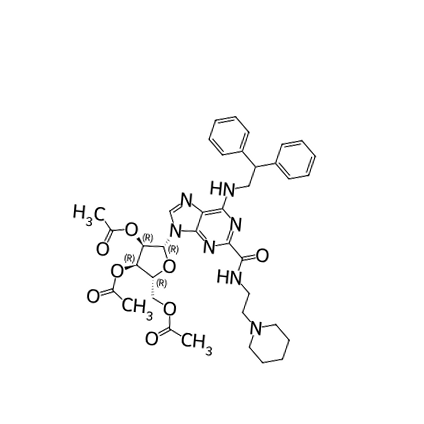 CC(=O)OC[C@H]1O[C@@H](n2cnc3c(NCC(c4ccccc4)c4ccccc4)nc(C(=O)NCCN4CCCCC4)nc32)[C@H](OC(C)=O)[C@@H]1OC(C)=O